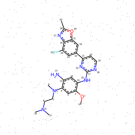 COc1cc(N(C)CCN(C)C)c(N)cc1Nc1nccc(-c2cc(F)c3nc(C)oc3c2)n1